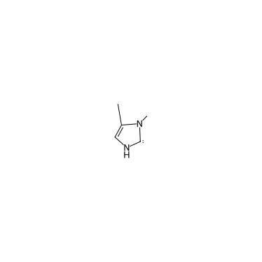 CC1=CN[C]N1C